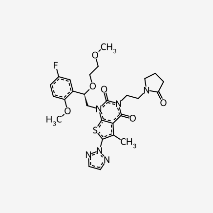 COCCO[C@@H](Cn1c(=O)n(CCN2CCCC2=O)c(=O)c2c(C)c(-n3nccn3)sc21)c1cc(F)ccc1OC